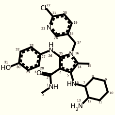 CNC(=O)c1c(NC2CCCCC2N)c(C)n(Cc2ccc(Cl)nc2)c1Nc1ccc(O)cc1